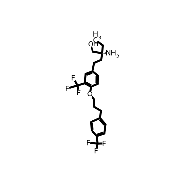 CC[C@](N)(CO)CCc1ccc(OCCCc2ccc(C(F)(F)F)cc2)c(C(F)(F)F)c1